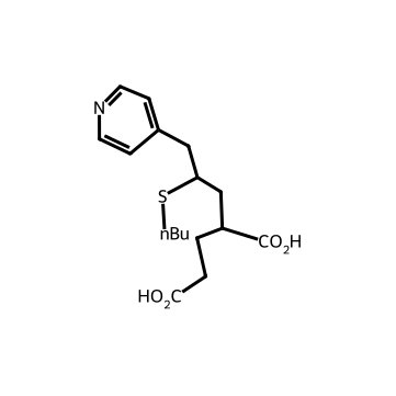 CCCCSC(Cc1ccncc1)CC(CCC(=O)O)C(=O)O